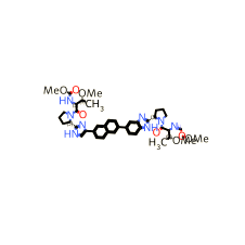 COO/C=N\C(C(=O)N1CCC[C@H]1c1nc2cc(-c3ccc4cc(-c5c[nH]c([C@@H]6CCCN6C(=O)[C@@H](NC(=O)OC)[C@@H](C)OC)n5)ccc4c3)ccc2[nH]1)[C@@H](C)OC